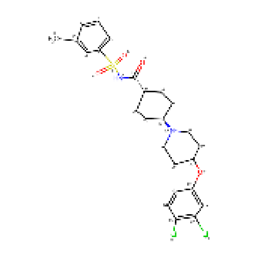 O=C(NS(=O)(=O)c1cccc(C(F)(F)F)c1)[C@H]1CC[C@H](N2CCC(Oc3ccc(Cl)c(Cl)c3)CC2)CC1